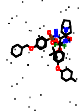 CC1CCC(Oc2ccc(C(F)(F)C(NS(=O)(=O)c3ccc(OCC4CCCCC4)cc3)C(=O)N3C4CCC3CC(NC(=O)OC(C)(C)C)C4)cc2)CC1